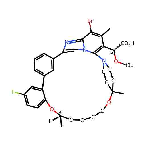 Cc1c([C@H](OC(C)(C)C)C(=O)O)c2n3cc(nc3c1Br)-c1cccc(c1)-c1cc(F)ccc1O[C@@H](C)CCCCOC1(C)CCN2CC1